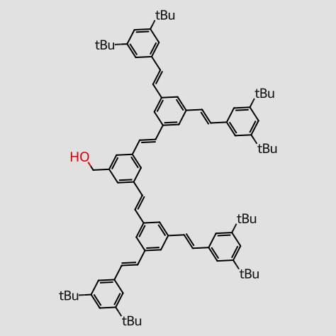 CC(C)(C)c1cc(C=Cc2cc(C=Cc3cc(C=Cc4cc(C=Cc5cc(C(C)(C)C)cc(C(C)(C)C)c5)cc(C=Cc5cc(C(C)(C)C)cc(C(C)(C)C)c5)c4)cc(CO)c3)cc(C=Cc3cc(C(C)(C)C)cc(C(C)(C)C)c3)c2)cc(C(C)(C)C)c1